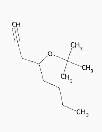 C#CCC(CCCC)OC(C)(C)C